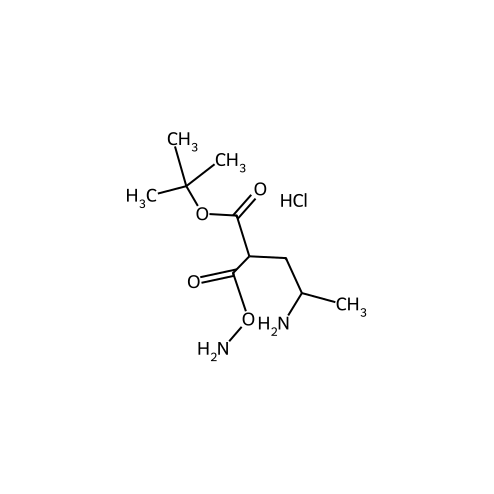 CC(N)CC(C(=O)ON)C(=O)OC(C)(C)C.Cl